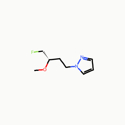 CO[C@H](CF)CCn1cccn1